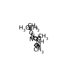 COc1cc2c(cc1Nc1ccc(C)nn1)ncn2COCC[Si](C)(C)C